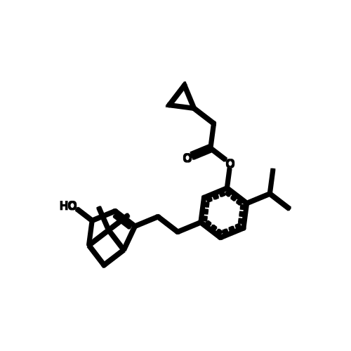 CC(C)c1ccc(CCC2=CC(O)C3CC2C3(C)C)cc1OC(=O)CC1CC1